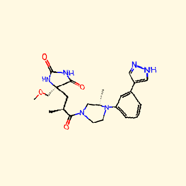 COC[C@]1(C[C@H](C)C(=O)N2CCN(c3cccc(-c4cn[nH]c4)c3)[C@@H](C)C2)NC(=O)NC1=O